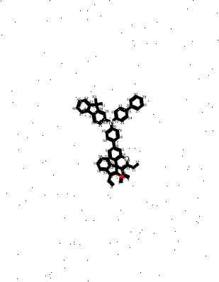 C=CC1=C(C=C)C2(C(C=C)=C(CC)Oc3cc(-c4ccc(N(c5ccc(-c6ccccc6)cc5)c5ccc6c(c5)C(C)(C)c5ccccc5-6)cc4)ccc32)c2ccccc21